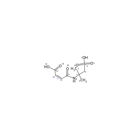 CC(C)(CS(=O)(=O)O)NC(=O)/C=C\C(=O)O